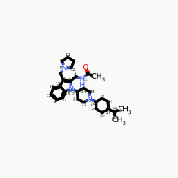 CC(=O)NCc1c(CN2CCCC2)c2ccccc2n1C1CCN(C2CCC(C(C)C)CC2)CC1